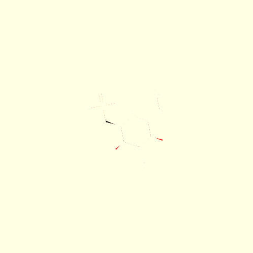 O=P(O)(O)C[C@H]1O[C@H](CO)[C@@H](O)[C@H](O)[C@H]1O